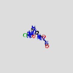 Cc1nc(Cl)nnc1C(=O)Nc1cc(-n2cc(C(=O)NCCCN3CCOCC3)nn2)ccc1N1CCN(C)[C@@H](C)C1